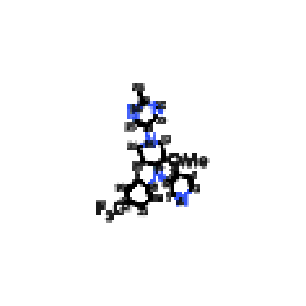 COc1ccncc1N(c1ccc(C(F)(F)F)cc1)C1CCN(c2cnc(C)nc2)CC1